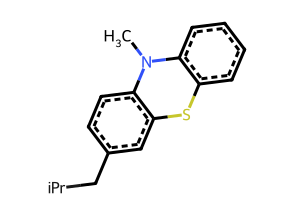 CC(C)Cc1ccc2c(c1)Sc1ccccc1N2C